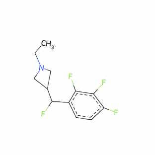 CCN1CC(C(F)c2ccc(F)c(F)c2F)C1